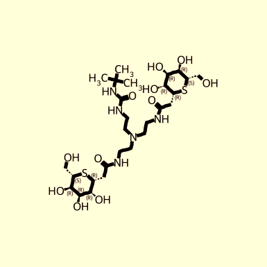 CC(C)(C)NC(=O)NCCN(CCNC(=O)C[C@H]1S[C@@H](CO)[C@H](O)[C@H](O)[C@H]1O)CCNC(=O)C[C@H]1S[C@@H](CO)[C@H](O)[C@H](O)[C@H]1O